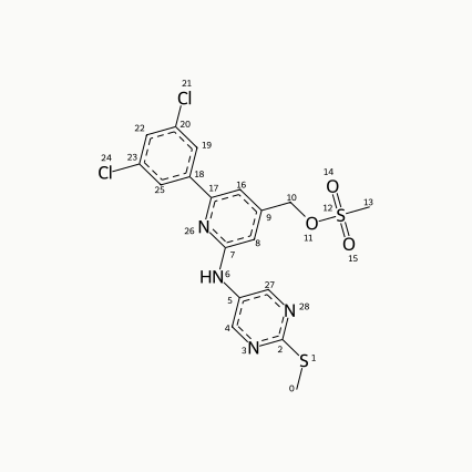 CSc1ncc(Nc2cc(COS(C)(=O)=O)cc(-c3cc(Cl)cc(Cl)c3)n2)cn1